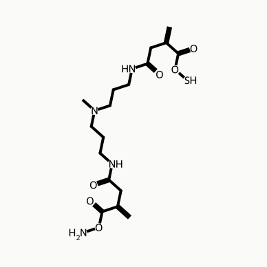 C=C(CC(=O)NCCCN(C)CCCNC(=O)CC(=C)C(=O)OS)C(=O)ON